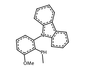 COc1cccc(-n2c3ccccc3c3ccccc32)c1PC